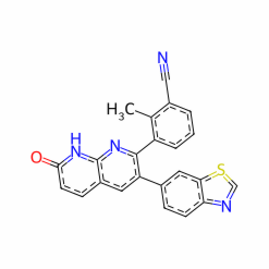 Cc1c(C#N)cccc1-c1nc2[nH]c(=O)ccc2cc1-c1ccc2ncsc2c1